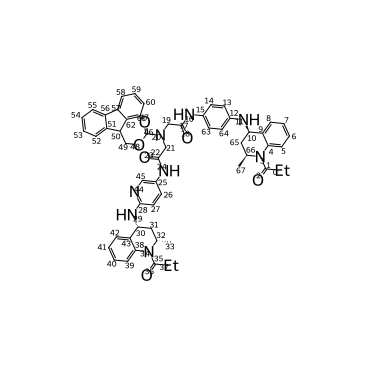 CCC(=O)N1c2ccccc2[C@H](Nc2ccc(NC(=O)CN(CC(=O)Nc3ccc(N[C@@H]4C[C@H](C)N(C(=O)CC)c5ccccc54)nc3)C(=O)OCC3c4ccccc4-c4ccccc43)cc2)C[C@@H]1C